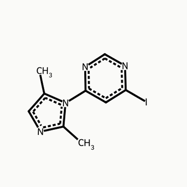 Cc1cnc(C)n1-c1cc(I)ncn1